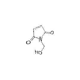 O=C1C=CC(=O)N1CO